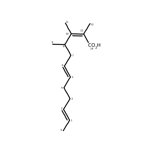 CC=CCCC=CCC(C)C(C)=C(C)C(=O)O